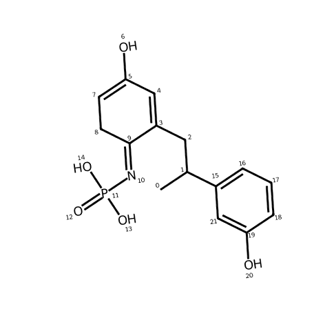 CC(CC1=CC(O)=CCC1=NP(=O)(O)O)c1cccc(O)c1